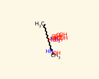 CCCCCCCCCCCCCCCCNC(C)O.N.O=P(O)(O)O.O=P(O)(O)O